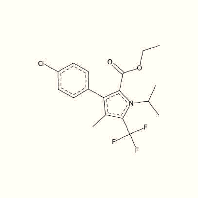 CCOC(=O)c1c(-c2ccc(Cl)cc2)c(C)c(C(F)(F)F)n1C(C)C